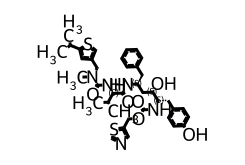 CC(C)c1cc(CN(C)C(=O)N[C@H](C(=O)N[C@@H](Cc2ccccc2)C[C@H](O)[C@H](Cc2ccc(O)cc2)NC(=O)OCc2cncs2)C(C)C)cs1